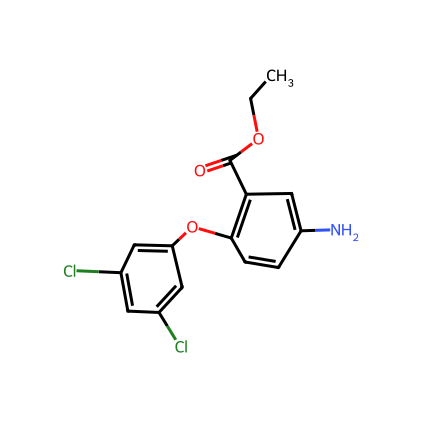 CCOC(=O)c1cc(N)ccc1Oc1cc(Cl)cc(Cl)c1